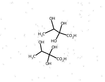 CC(O)C(O)(O)C(=O)O.CC(O)C(O)(O)C(=O)O